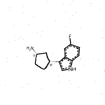 N[C@H]1CC[C@@H](c2c[nH]c3ccc(F)cc23)C1